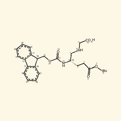 CC(C)(C)OC(=O)CC[C@@H](CNCC(=O)O)NC(=O)OCC1c2ccccc2-c2ccccc21